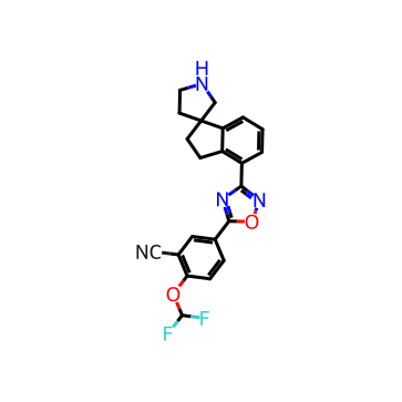 N#Cc1cc(-c2nc(-c3cccc4c3CCC43CCNC3)no2)ccc1OC(F)F